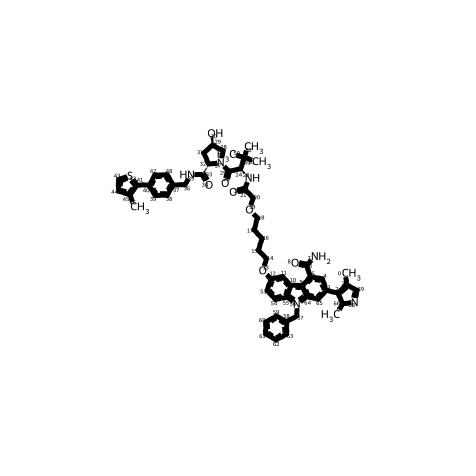 CC1=C(c2cc(C(N)=O)c3c4cc(OCCCCCOCC(=O)N[C@H](C(=O)N5C[C@H](O)C[C@H]5C(=O)NCc5ccc(-c6sccc6C)cc5)C(C)(C)C)ccc4n(Cc4ccccc4)c3c2)C(C)N=C1